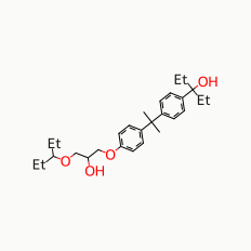 CCC(CC)OCC(O)COc1ccc(C(C)(C)c2ccc(C(O)(CC)CC)cc2)cc1